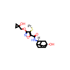 CC(C)Sc1c(OCC2(O)CC2)noc1C(=O)N[C@H]1C2CC3CC1C[C@](O)(C3)C2